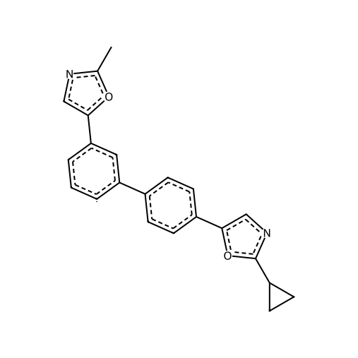 Cc1ncc(-c2cc[c]c(-c3ccc(-c4cnc(C5CC5)o4)cc3)c2)o1